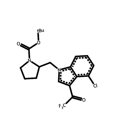 CC(C)(C)OC(=O)N1CCCC1Cn1cc(C(=O)C(F)(F)F)c2c(Cl)cccc21